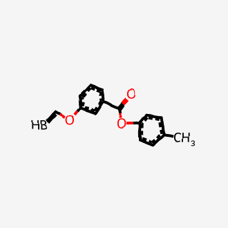 B=COc1cccc(C(=O)Oc2ccc(C)cc2)c1